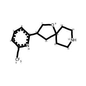 FC(F)(F)c1cccc(C2COC3(CCNCC3)C2)n1